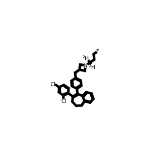 [2H]C([2H])(CCF)N1CC(Cc2ccc(C3=C(c4ccc(Cl)cc4Cl)CCCc4ccccc43)cc2)C1